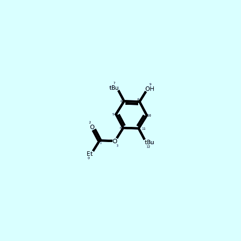 CCC(=O)Oc1cc(C(C)(C)C)c(O)cc1C(C)(C)C